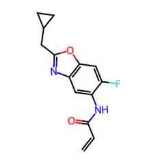 C=CC(=O)Nc1cc2nc(CC3CC3)oc2cc1F